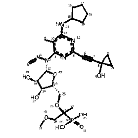 C=NN(c1nc(C#CC2(O)CC2)nc(NC2CCCC2)c1C)[C@@H]1O[C@H](COC(C)(COC)P(=O)(O)O)[C@@H](O)[C@H]1O